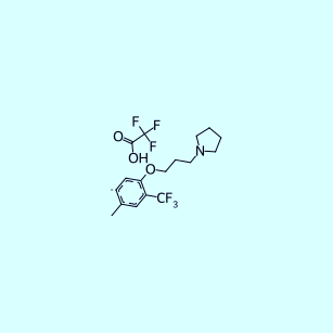 Cc1[c]cc(OCCCN2CCCC2)c(C(F)(F)F)c1.O=C(O)C(F)(F)F